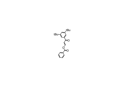 CC(C)(C)c1cc(C(=O)C=COC(=O)c2ccccc2)cc(C(C)(C)C)c1